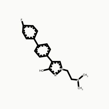 CN(C)CCn1cc(-c2ccc(-c3ccc(F)cc3)cc2)c(O)n1